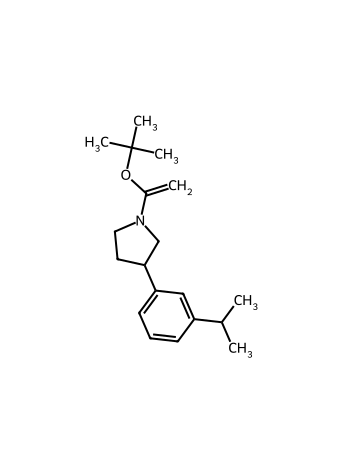 C=C(OC(C)(C)C)N1CCC(c2cccc(C(C)C)c2)C1